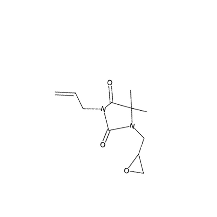 C=CCN1C(=O)N(CC2CO2)C(C)(C)C1=O